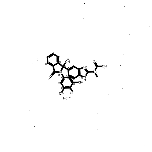 CN(C(=O)O)c1nc2cc(C3(O)c4ccccc4C(=O)N3c3cc(Cl)c(F)c(Cl)c3)ccc2[nH]1.Cl